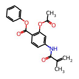 C=C(C)C(=O)Nc1ccc(C(=O)Oc2ccccc2)c(OC(C)=O)c1